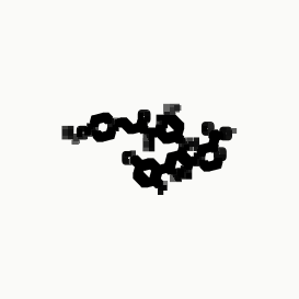 CN1CCN(CCC(=O)Nc2cc(Nc3cc(-c4cc(Cl)ccc4F)nnc3N3CCOC(C(=O)[O-])C3)ccn2)CC1.[Li+]